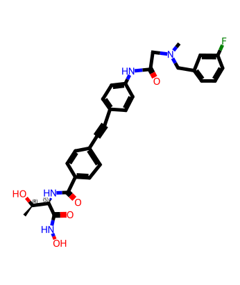 C[C@@H](O)[C@H](NC(=O)c1ccc(C#Cc2ccc(NC(=O)CN(C)Cc3cccc(F)c3)cc2)cc1)C(=O)NO